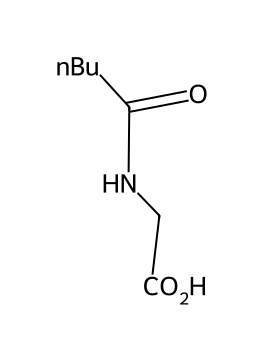 CCCCC(=O)NCC(=O)O